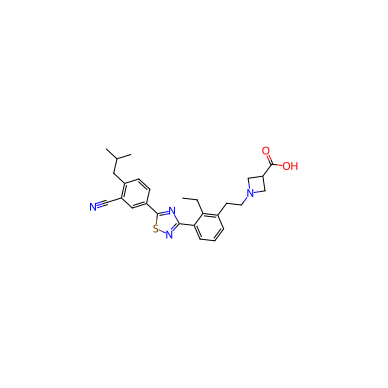 CCc1c(CCN2CC(C(=O)O)C2)cccc1-c1nsc(-c2ccc(CC(C)C)c(C#N)c2)n1